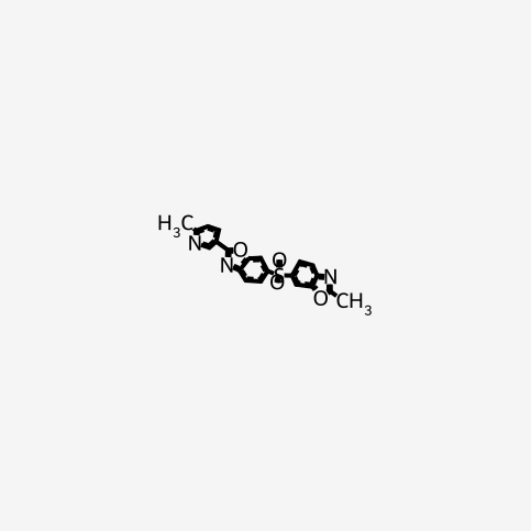 Cc1ccc(-c2nc3ccc(S(=O)(=O)c4ccc5nc(C)oc5c4)cc3o2)cn1